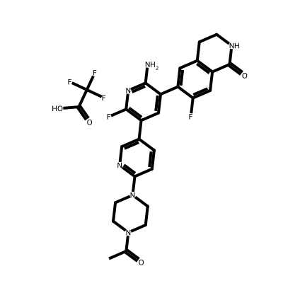 CC(=O)N1CCN(c2ccc(-c3cc(-c4cc5c(cc4F)C(=O)NCC5)c(N)nc3F)cn2)CC1.O=C(O)C(F)(F)F